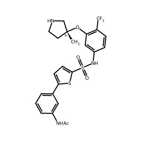 CC(=O)Nc1cccc(-c2ccc(S(=O)(=O)Nc3ccc(C(F)(F)F)c(O[C@]4(C)CCNC4)c3)s2)c1